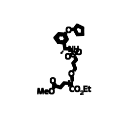 CCOC(=O)N(CCC(=O)OC)COCCCS(=O)(=O)N[C@H](C)c1cccc(OC2CCCC2)c1